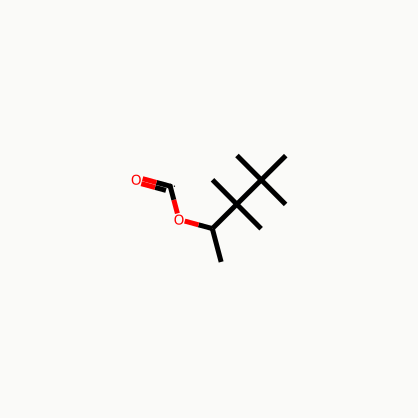 CC(O[C]=O)C(C)(C)C(C)(C)C